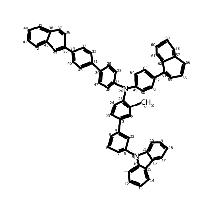 Cc1cc(-c2cccc(-n3c4ccccc4c4ccccc43)c2)ccc1N(c1ccc(-c2ccc(-c3ccc4ccccc4c3)cc2)cc1)c1ccc(-c2cccc3ccccc23)cc1